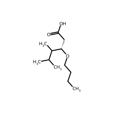 CCCCO[C@@H](CC(=O)O)C(C)C(C)C